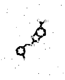 O=C(O)c1ccc2oc(NCc3cccc(Cl)c3)nc2c1